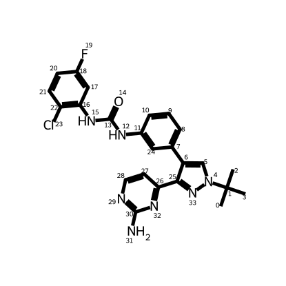 CC(C)(C)n1cc(-c2cccc(NC(=O)Nc3cc(F)ccc3Cl)c2)c(-c2ccnc(N)n2)n1